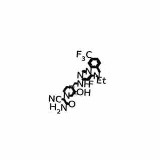 CCN(Cc1ccc(C(F)(F)F)cc1)c1ncnc(NC[C@@H]2CCN(C(C#N)C(N)=O)C[C@H]2O)c1F